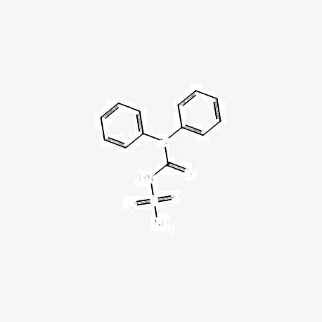 NS(=O)(=O)NC(=S)N(c1ccccc1)c1ccccc1